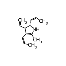 C=CC1C(/C=C\C)=C(C)N[C@H]1/C=C\C